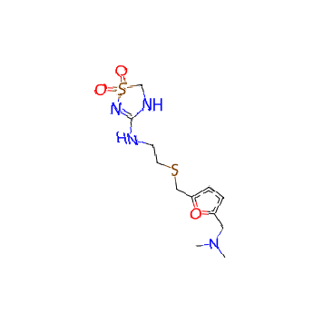 CN(C)Cc1ccc(CSCCNC2=NS(=O)(=O)CN2)o1